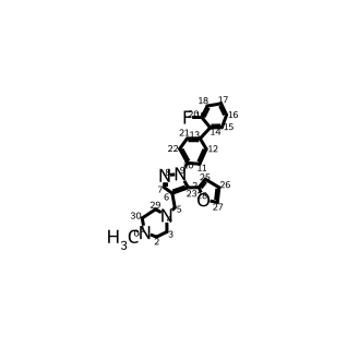 CN1CCN(Cc2cnn(-c3ccc(-c4ccccc4F)cc3)c2-c2ccco2)CC1